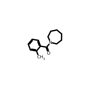 Cc1ccccc1C(=O)N1CCCCCC1